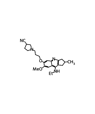 CCNc1c2c(nc3cc(OCCCN4CCC(C#N)C4)c(OC)cc13)CC(C)C2